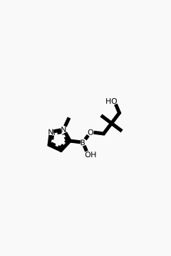 Cn1nccc1B(O)OCC(C)(C)CO